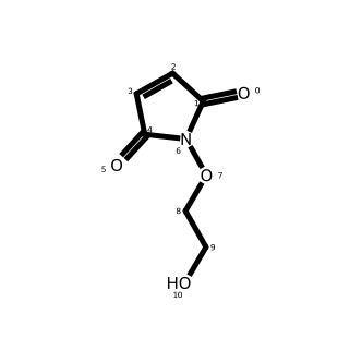 O=C1C=CC(=O)N1OCCO